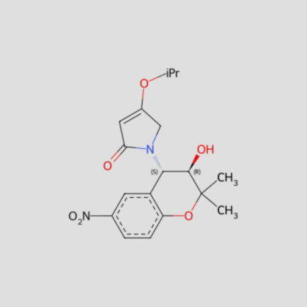 CC(C)OC1=CC(=O)N([C@H]2c3cc([N+](=O)[O-])ccc3OC(C)(C)[C@@H]2O)C1